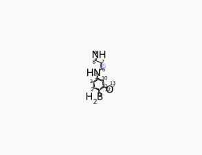 Bc1ccc(N/C=C\C=N)cc1OC